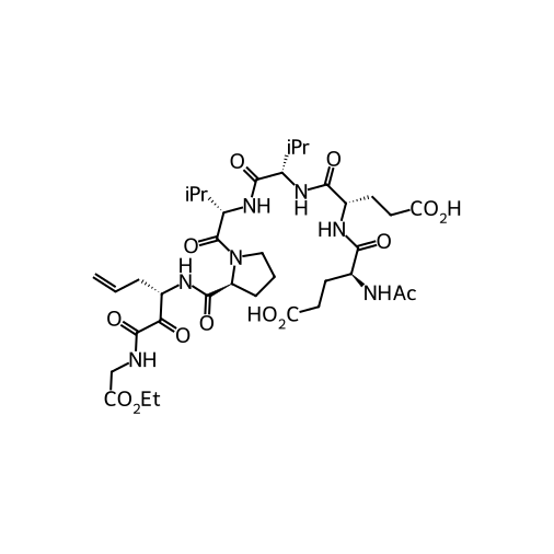 C=CC[C@H](NC(=O)[C@@H]1CCCN1C(=O)[C@@H](NC(=O)[C@@H](NC(=O)[C@H](CCC(=O)O)NC(=O)[C@H](CCC(=O)O)NC(C)=O)C(C)C)C(C)C)C(=O)C(=O)NCC(=O)OCC